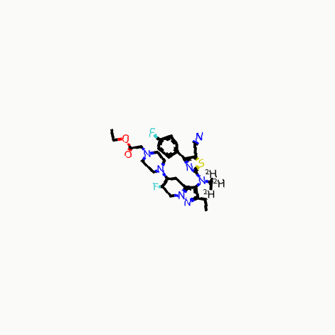 [2H]C([2H])([2H])N(c1nc(-c2ccc(F)cc2)c(C#N)s1)c1c(CC)nn2c1CC(N1CCN(CC(=O)OCC)CC1)C(F)C2